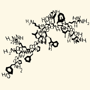 CC[C@H](C)[C@H](NC(=O)[C@H](CCCNC(=N)N)NC(=O)[C@H](Cc1ccccc1)NC(=O)[C@H](Cc1c[nH]cn1)NC(=O)[C@H](CO)NC(=O)[C@H](CCCCN)NC(=O)[C@H](Cc1c[nH]c2ccccc12)NC(=O)[C@H](CC(C)C)NC(=O)[C@@H]1CCCN1C(=O)[C@H](Cc1ccccc1)NC(=O)[C@H](CCCNC(=N)N)NC(=O)[C@H](CC(N)=O)NC(=O)[C@@H]1CCCN1C(=O)[C@@H](N)Cc1ccc(O)cc1)C(=O)N[C@@H](Cc1c[nH]cn1)C(=O)O